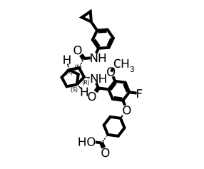 COc1cc(F)c(O[C@H]2CC[C@@H](C(=O)O)CC2)cc1C(=O)N[C@@H]1[C@H]2CC[C@H](C2)[C@@H]1C(=O)Nc1cccc(C2CC2)c1